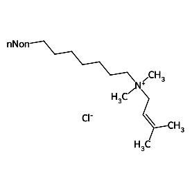 CCCCCCCCCCCCCCCC[N+](C)(C)CC=C(C)C.[Cl-]